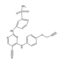 C#CCOc1ccc(Nc2nc(Nc3cccc(S(N)(=O)=O)c3)ncc2C#N)cc1